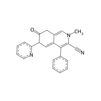 CN1C=C2CC(=O)C(c3ccccn3)C=C2C(c2ccccc2)=C1C#N